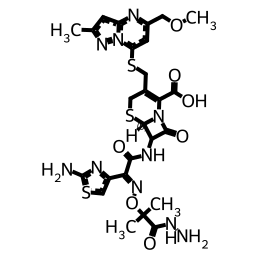 COCc1cc(SCC2=C(C(=O)O)N3C(=O)C(NC(=O)C(=NOC(C)(C)C(=O)NN)c4csc(N)n4)[C@@H]3SC2)n2nc(C)cc2n1